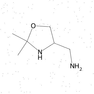 CC1(C)NC(CN)CO1